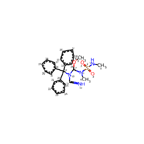 CNS(=O)(=O)N(C)C(OC)N(C=N)C(c1ccccc1)(c1ccccc1)c1ccccc1